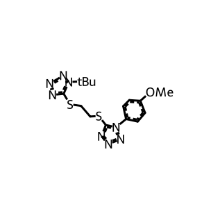 COc1ccc(-n2nnnc2SCCSc2nnnn2C(C)(C)C)cc1